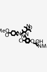 CNC[C@@H](O)COc1ccc(Cl)c(-c2nc(-c3c(C)noc3C)c(C)c(N3CC4(CCC(C(=O)OC)CC4)C3)n2)c1